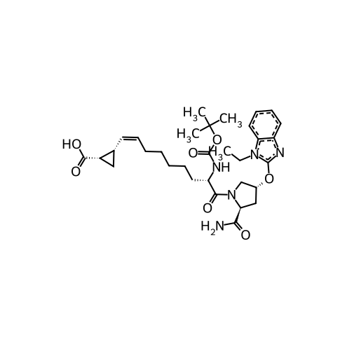 CCn1c(O[C@@H]2C[C@@H](C(N)=O)N(C(=O)[C@H](CCCCC/C=C\[C@@H]3C[C@@H]3C(=O)O)NC(=O)OC(C)(C)C)C2)nc2ccccc21